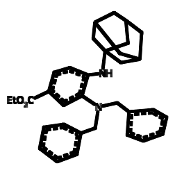 CCOC(=O)c1ccc(NC23CC4CC(CC(C4)C2)C3)c(N(Cc2ccccc2)Cc2ccccc2)c1